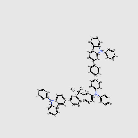 CC1(C)c2cc(-c3ccc4c(c3)c3ccccc3n4-c3ccccc3)ccc2-c2ccc(N(c3ccccc3)c3ccc(-c4ccc(-c5ccc6c7ccccc7n(-c7ccccc7)c6c5)cc4)cc3)cc21